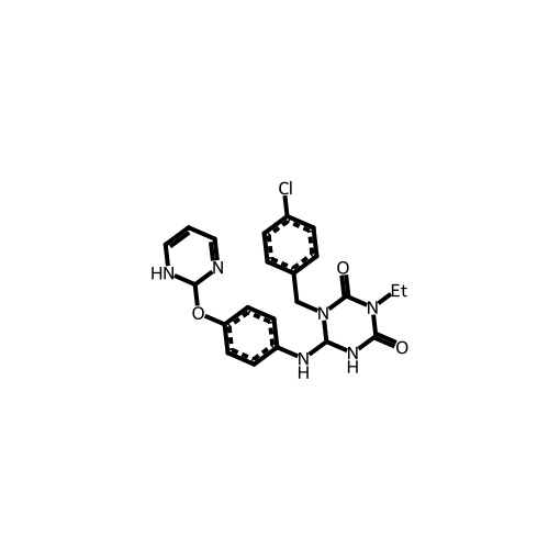 CCN1C(=O)NC(Nc2ccc(OC3N=CC=CN3)cc2)N(Cc2ccc(Cl)cc2)C1=O